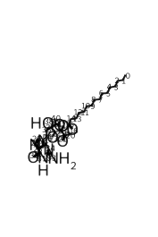 CCCCCCCCCCCCCCCC(=O)OC(C(C)=O)[C@H]1O[C@@H](n2cnc3c(=O)[nH]c(N)nc32)C[C@@]1(O)C(C)=O